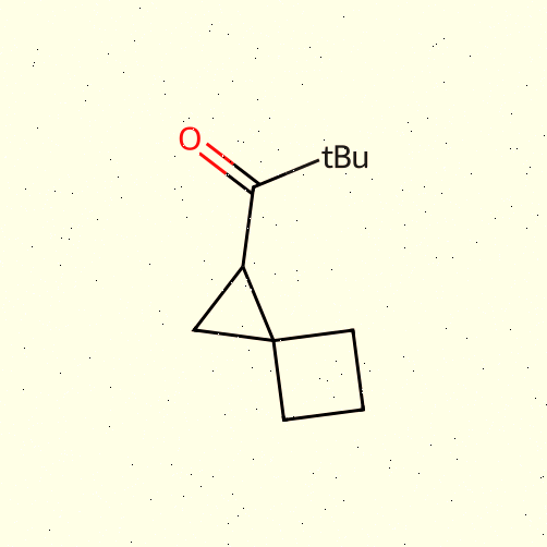 CC(C)(C)C(=O)C1CC12CCC2